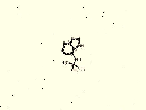 CC(C)(C)Nc1cccc2cc[nH]c12